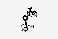 C=C(C)c1nc(-c2cccc(C#C[C@]3(O)CCN(C)C3=O)c2)nc2c1ccn2C